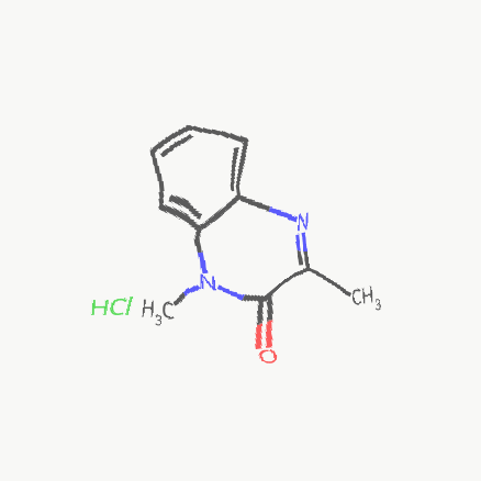 Cc1nc2ccccc2n(C)c1=O.Cl